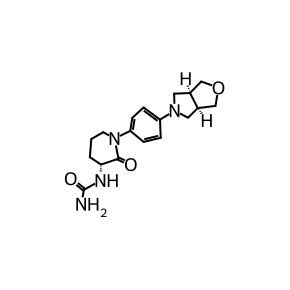 NC(=O)N[C@@H]1CCCN(c2ccc(N3C[C@H]4COC[C@H]4C3)cc2)C1=O